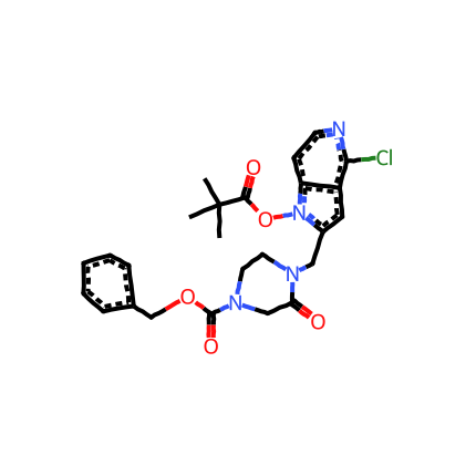 CC(C)(C)C(=O)On1c(CN2CCN(C(=O)OCc3ccccc3)CC2=O)cc2c(Cl)nccc21